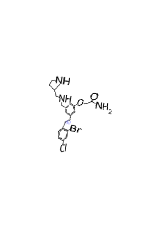 NC(=O)COc1cc(/C=C/c2ccc(Cl)cc2Br)cc(CNCC2CCNC2)c1